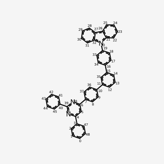 c1ccc(-c2cc(-c3ccc(-c4cccc(-c5ccc(-n6c7ccccc7c7ccccc76)cc5)c4)cc3)nc(-c3ccccc3)n2)cc1